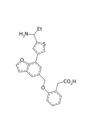 CCC(N)c1cc(-c2cc(COc3ccccc3CC(=O)O)cc3ccoc23)cs1